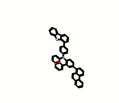 c1ccc(-c2cc(-c3cccc4c3ccc3ccccc34)ccc2N(c2ccccc2)c2ccc(-c3cccc4c3oc3ccccc34)cc2)cc1